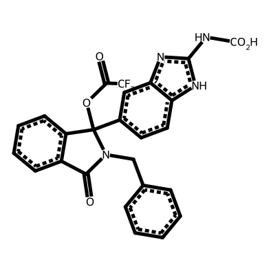 O=C(O)Nc1nc2cc(C3(OC(=O)C(F)(F)F)c4ccccc4C(=O)N3Cc3ccccc3)ccc2[nH]1